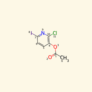 CC(=O)Oc1ccc(I)nc1Cl